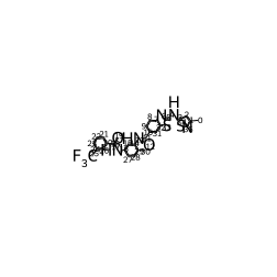 Cc1cc(Nc2nc3ccc(C(=O)Nc4cc(NC(=O)c5cccc(C(F)(F)F)c5)ccc4C)cc3s2)sn1